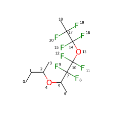 CCC(C)OC(C)C(F)(F)C(F)(F)OC(F)(F)C(C)(F)F